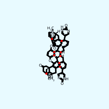 CN1CC[C@]23CC(=O)CC[C@@]2(O)[C@H]1Cc1ccc(C(=O)NCCc2ccc(-c4cnc(=O)[nH]c4)cc2)c(OC(=O)/C=C\C(=O)Oc2c(C(=O)NCCc4ccc(-c5cnc(=O)[nH]c5)cc4)ccc4c2[C@]25CCN(C)[C@H](C4)[C@]2(O)CCC(=O)C5)c13